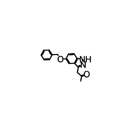 CC(=O)Cc1n[nH]c2ccc(OCc3ccccc3)cc12